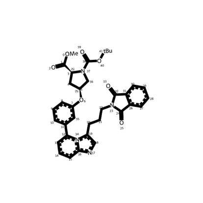 COC(=O)[C@@H]1C[C@H](Oc2cccc(-c3cccc4ncc(CCCN5C(=O)c6ccccc6C5=O)n34)c2)CN1C(=O)OC(C)(C)C